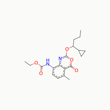 CCCC(Oc1nc2c(NC(=O)OCC)ccc(C)c2c(=O)o1)C1CC1